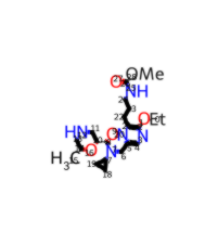 CCOc1ncc(CN(C(=O)[C@H]2CNC[C@@H](C)O2)C2CC2)nc1CCCNC(=O)OC